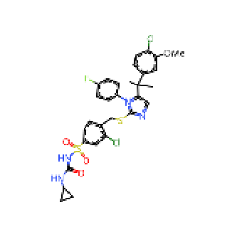 COc1cc(C(C)(C)c2cnc(SCc3ccc(S(=O)(=O)NC(=O)NC4CC4)cc3Cl)n2-c2ccc(F)cc2)ccc1Cl